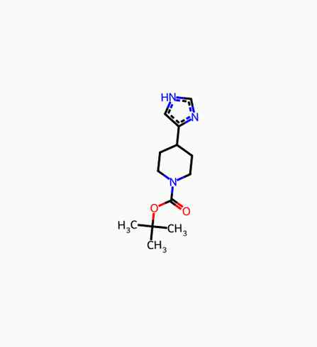 CC(C)(C)OC(=O)N1CCC(c2c[nH]cn2)CC1